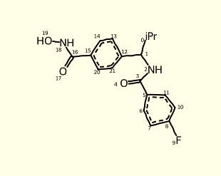 CC(C)C(NC(=O)c1ccc(F)cc1)c1ccc(C(=O)NO)cc1